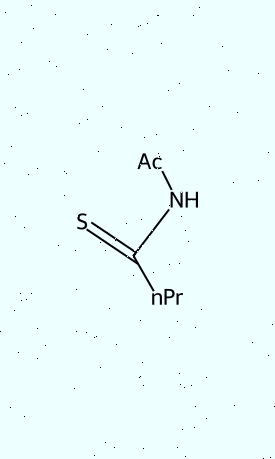 CCCC(=S)NC(C)=O